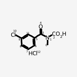 CN(C(=O)O)C(=O)c1cccc(Cl)c1.Cl